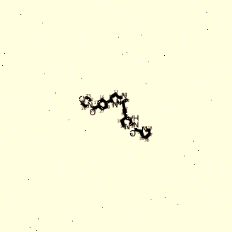 O=C(Nc1cc(C#Cc2cnc3ccc(-c4ccc(C(=O)N5CCOCC5)cc4)nn23)ccn1)c1ccccn1